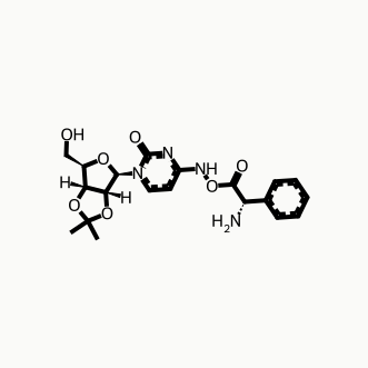 CC1(C)O[C@@H]2[C@H](O1)[C@@H](CO)O[C@H]2n1ccc(NOC(=O)[C@@H](N)c2ccccc2)nc1=O